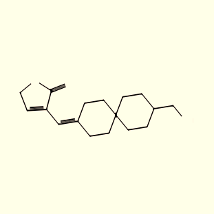 O=C1OCC=C1C=C1CCC2(CC1)CCC(CO)CC2